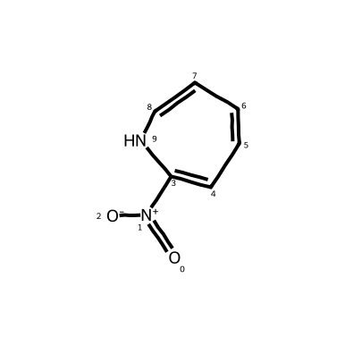 O=[N+]([O-])C1=CC=CC=CN1